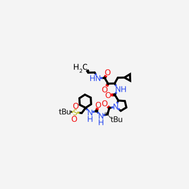 C=CCNC(=O)C(=O)C(CC1CC1)NC(=O)C1CCCN1C(=O)[C@@H](NC(=O)NC1(CS(=O)(=O)C(C)(C)C)CCCCC1)C(C)(C)C